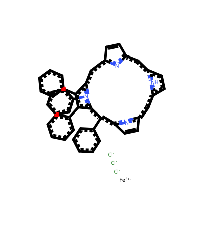 C1=Cc2cc3c(-c4ccccc4)c(-c4ccccc4)c(c(-c4ccccc4)c4nc(cc5ccc(cc1n2)[nH]5)C=C4)n3-c1ccccc1.[Cl-].[Cl-].[Cl-].[Fe+3]